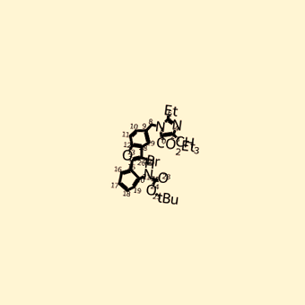 CCOC(=O)c1c(C)nc(CC)n1Cc1ccc2oc(-c3ccccc3NC(=O)OC(C)(C)C)c(Br)c2c1